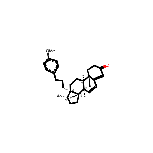 COc1ccc(CCC[C@]23CC[C@@H]4[C@@H](C=CC5=CC(=O)CC[C@]54C)[C@@H]2CC[C@@H]3C(C)=O)cc1